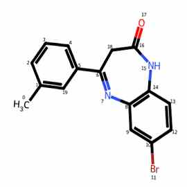 Cc1cccc(C2=Nc3cc(Br)ccc3NC(=O)C2)c1